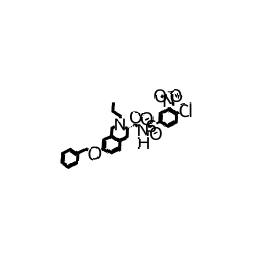 CCCN1Cc2cc(OCc3ccccc3)ccc2C[C@H]1C(=O)NS(=O)(=O)c1ccc(Cl)c([N+](=O)[O-])c1